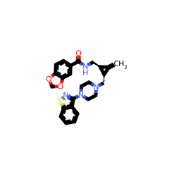 C=C1[C@H](CNC(=O)c2ccc3c(c2)OCO3)[C@H]1CN1CCN(c2nsc3ccccc23)CC1